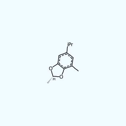 Cc1cc(C(C)C)cc2c1O[C@H](C)O2